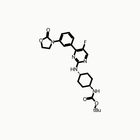 CC(C)(C)OC(=O)N[C@H]1CC[C@H](Nc2ncc(F)c(-c3cccc(N4CCOC4=O)c3)n2)CC1